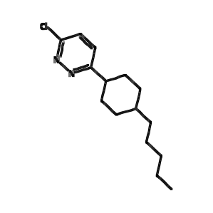 CCCCCC1CCC(c2ccc(Cl)nn2)CC1